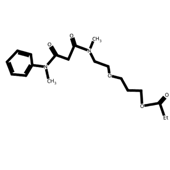 CCC(=O)OCCCOCCN(C)C(=O)CC(=O)N(C)c1ccccc1